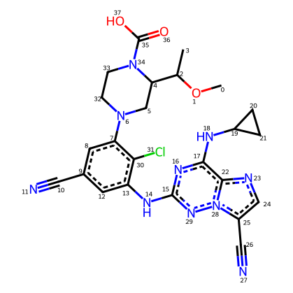 COC(C)C1CN(c2cc(C#N)cc(Nc3nc(NC4CC4)c4ncc(C#N)n4n3)c2Cl)CCN1C(=O)O